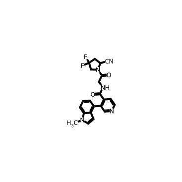 Cn1ccc2c(-c3cnccc3C(=O)NCC(=O)N3CC(F)(F)CC3C#N)cccc21